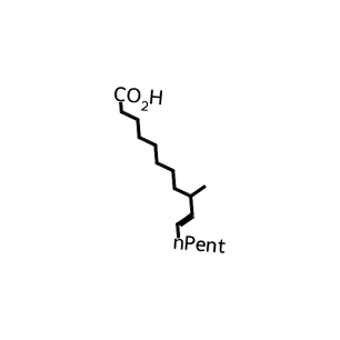 CCCCCC=CC(C)CCCCCCCC(=O)O